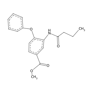 CCCC(=O)Nc1cc(C(=O)OC)ccc1Oc1ccccc1